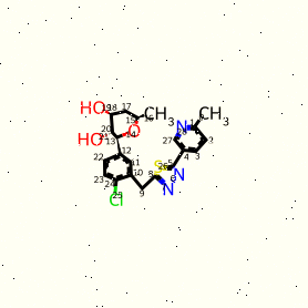 Cc1ccc(-c2nnc(Cc3cc([C@@H]4O[C@H](C)C[C@H](O)[C@H]4O)ccc3Cl)s2)cn1